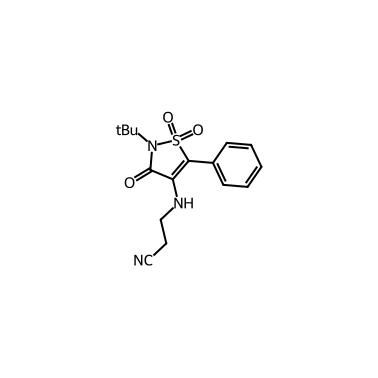 CC(C)(C)N1C(=O)C(NCCC#N)=C(c2ccccc2)S1(=O)=O